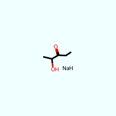 CCC(=O)C(C)O.[NaH]